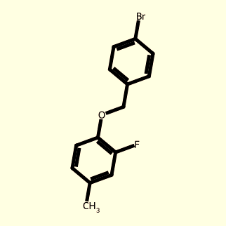 Cc1ccc(OCc2ccc(Br)cc2)c(F)c1